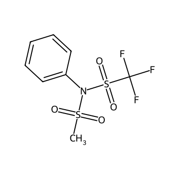 CS(=O)(=O)N(c1ccccc1)S(=O)(=O)C(F)(F)F